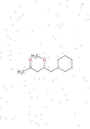 COC(CC(C)=O)CC1CCCCC1